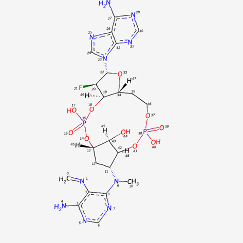 C=Nc1c(N)ncnc1N(C)[C@@H]1C[C@@H]2OP(=O)(O)O[C@H]3[C@@H](F)[C@H](n4cnc5c(N)ncnc54)O[C@@H]3CCOP(=O)(O)O[C@@H]1[C@@H]2O